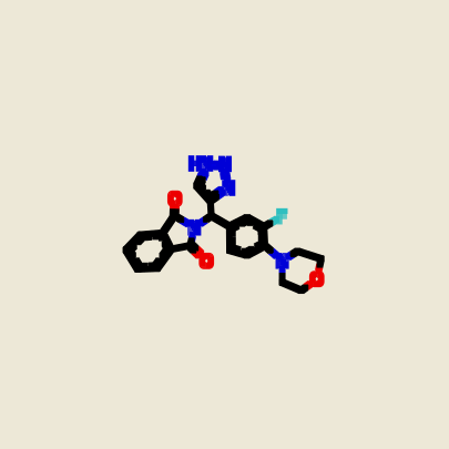 O=C1c2ccccc2C(=O)N1C(c1ccc(N2CCOCC2)c(F)c1)c1c[nH]nn1